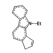 CCn1c2ccccc2c2ccc3c(c21)C=CC3